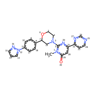 Cn1c(N2CCOC(c3ccc(-n4cccn4)cc3)C2)nc(-c2ccncn2)cc1=O